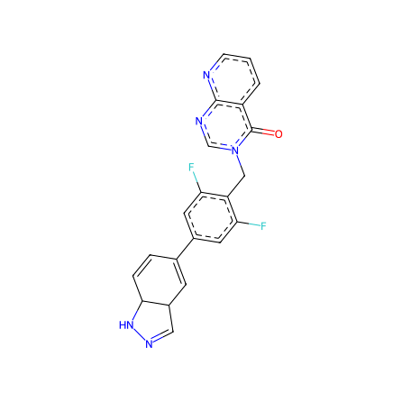 O=c1c2cccnc2ncn1Cc1c(F)cc(C2=CC3C=NNC3C=C2)cc1F